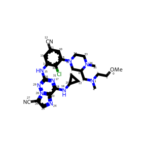 COCCN(C)CC1CN(c2cc(C#N)cc(Nc3nc(NC4CC4)c4ncc(C#N)n4n3)c2Cl)CCN1C